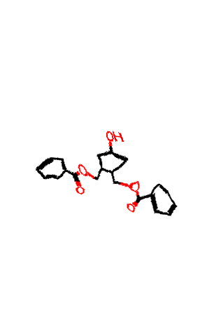 O=C(OCC1CC(O)CC1COC(=O)c1ccccc1)c1ccccc1